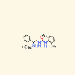 CCCCCCCCCCNC(CNC(=O)Nc1c(C(C)C)cccc1C(C)C)c1ccccc1